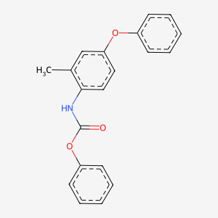 Cc1cc(Oc2ccccc2)ccc1NC(=O)Oc1ccccc1